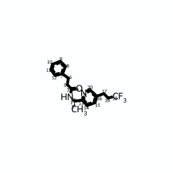 C[C@H](NC(=O)CCc1ccccc1)c1ccc(CCC(F)(F)F)cn1